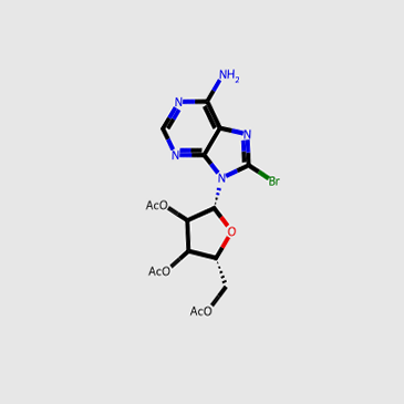 CC(=O)OC[C@H]1O[C@@H](n2c(Br)nc3c(N)ncnc32)C(OC(C)=O)C1OC(C)=O